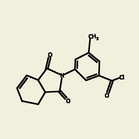 Cc1cc(C(=O)Cl)cc(N2C(=O)C3C=CCCC3C2=O)c1